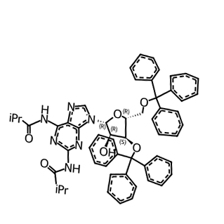 CC(C)C(=O)Nc1nc(NC(=O)C(C)C)c2ncn([C@@H]3O[C@H](COC(c4ccccc4)(c4ccccc4)c4ccccc4)[C@@H](OC(c4ccccc4)(c4ccccc4)c4ccccc4)[C@H]3O)c2n1